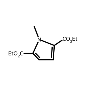 CCOC(=O)c1ccc(C(=O)OCC)n1C